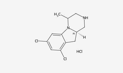 CC1CNC[C@H]2Cc3c(Cl)cc(Cl)cc3N12.Cl